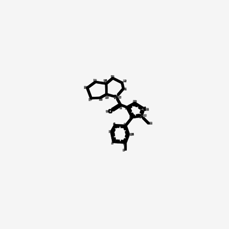 Cc1cccc(-c2c(C(=O)N3CCCC4CCCCC43)cnn2C)c1